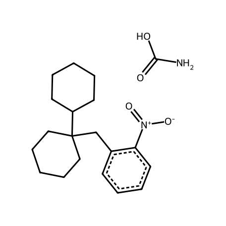 NC(=O)O.O=[N+]([O-])c1ccccc1CC1(C2CCCCC2)CCCCC1